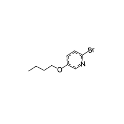 CCCCOc1ccc(Br)nc1